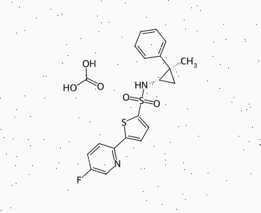 C[C@]1(c2ccccc2)C[C@@H]1NS(=O)(=O)c1ccc(-c2ccc(F)cn2)s1.O=C(O)O